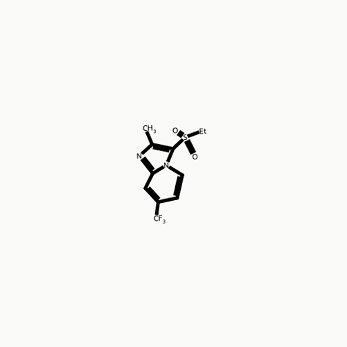 CCS(=O)(=O)c1c(C)nc2cc(C(F)(F)F)ccn12